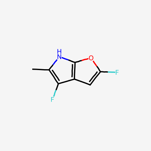 Cc1[nH]c2oc(F)cc2c1F